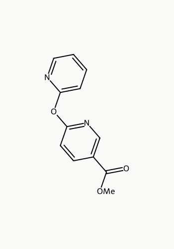 COC(=O)c1ccc(Oc2ccccn2)nc1